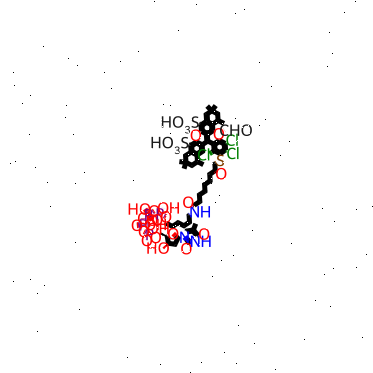 Cc1cn([C@H]2C[C@@H](O)[C@@H](COP(=O)(O)OP(=O)(O)OP(=O)(O)OP(=O)(O)OCCCCCCNC(=O)CCCCCCC(=O)CSc3c(Cl)c(Cl)c(OC=O)c(C4=c5cc6c(c(S(=O)(=O)O)c5Oc5c4cc4c(c5S(=O)(=O)O)CC(C)(C)CC4C)=CC(C)(C)CC6C)c3Cl)O2)c(=O)[nH]c1=O